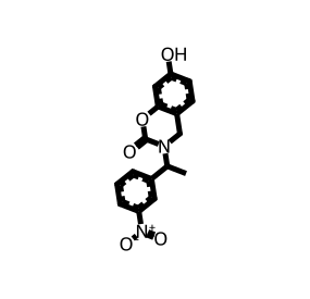 CC(c1cccc([N+](=O)[O-])c1)N1Cc2ccc(O)cc2OC1=O